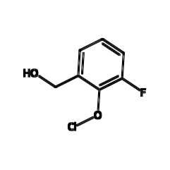 OCc1cccc(F)c1OCl